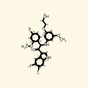 COc1cc(NC(C(=O)c2c[nH]c3cc(F)c(F)cc23)c2ccc(F)cc2OC)cc(OCCO)c1